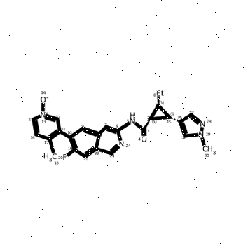 CC[C@@H]1[C@H](C(=O)Nc2cc3cc(-c4c[n+]([O-])ccc4C)c(F)cc3cn2)[C@H]1c1cnn(C)c1